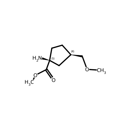 COC[C@@H]1CC[C@@](N)(C(=O)OC)C1